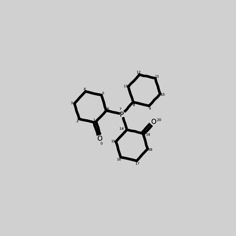 O=C1CCCCC1P(C1CCCCC1)C1CCCCC1=O